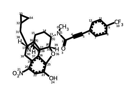 CN(C(=O)C#Cc1ccc(C(F)(F)F)cc1)[C@H]1CC[C@H]2[C@H]3Cc4c([N+](=O)[O-])cc(O)c5c4[C@@]2(CCN3CC2CC2)[C@H]1O5